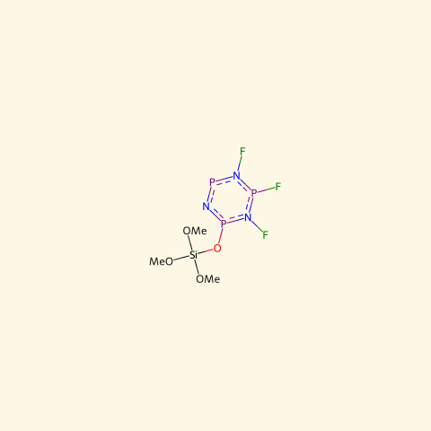 CO[Si](OC)(OC)Op1npn(F)p(F)n1F